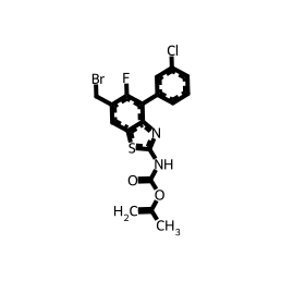 C=C(C)OC(=O)Nc1nc2c(-c3cccc(Cl)c3)c(F)c(CBr)cc2s1